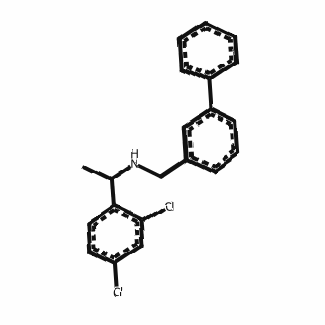 CC(NCc1cccc(-c2ccccc2)c1)c1ccc(Cl)cc1Cl